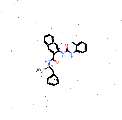 Cc1ccccc1NC(=O)Nc1cc2ccccc2cc1C(=O)N[C@@H](Cc1ccccc1)C(=O)O